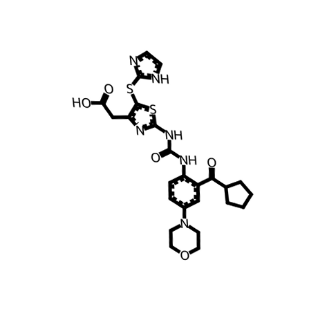 O=C(O)Cc1nc(NC(=O)Nc2ccc(N3CCOCC3)cc2C(=O)C2CCCC2)sc1Sc1ncc[nH]1